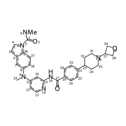 CNC(=O)n1ccc2cc(N(C)c3ccnc(NC(=O)c4ccc(C5CCN(C6COC6)CC5)cc4)c3)ccc21